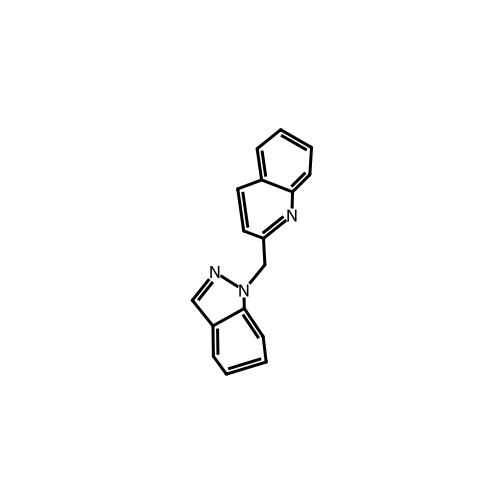 c1ccc2nc(Cn3ncc4ccccc43)ccc2c1